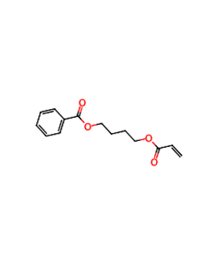 C=CC(=O)OCCCCOC(=O)c1ccccc1